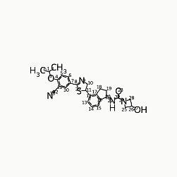 CC(C)Oc1ccc(C2=NCC(c3cccc4c3CC[C@@H]4NC(=O)N3CC(O)C3)S2)cc1C#N